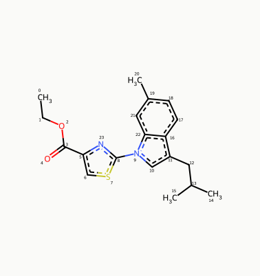 CCOC(=O)c1csc(-n2cc(CC(C)C)c3ccc(C)cc32)n1